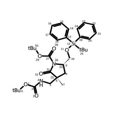 CC(C)(C)OC(=O)NC[C@]1(C)C[C@@H](CO[Si](c2ccccc2)(c2ccccc2)C(C)(C)C)N(C(=O)OC(C)(C)C)C1=O